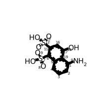 Nc1cccc2c(S(=O)(=O)O)c(S(=O)(=O)O)cc(O)c12